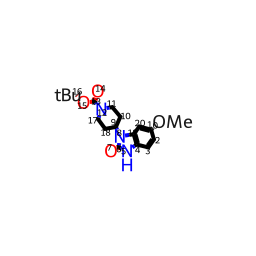 COc1ccc2[nH]c(=O)n(C3CCN(C(=O)OC(C)(C)C)CC3)c2c1